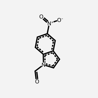 O=Cn1ccc2cc([N+](=O)[O-])ccc21